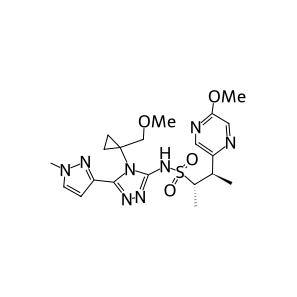 COCC1(n2c(NS(=O)(=O)[C@@H](C)[C@H](C)c3cnc(OC)cn3)nnc2-c2ccn(C)n2)CC1